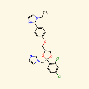 CCn1ccnc1-c1ccc(OC[C@H]2CO[C@@](Cn3ccnc3)(c3ccc(Cl)cc3Cl)O2)cc1